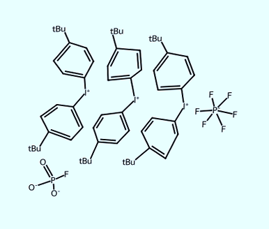 CC(C)(C)c1ccc([I+]c2ccc(C(C)(C)C)cc2)cc1.CC(C)(C)c1ccc([I+]c2ccc(C(C)(C)C)cc2)cc1.CC(C)(C)c1ccc([I+]c2ccc(C(C)(C)C)cc2)cc1.F[P-](F)(F)(F)(F)F.O=P([O-])([O-])F